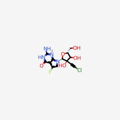 Nc1nc2c(c(F)cn2[C@@H]2O[C@H](CO)C(O)[C@]2(O)C#CCl)c(=O)[nH]1